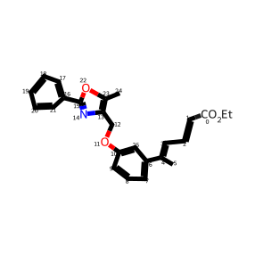 CCOC(=O)C=CC=C(C)c1cccc(OCc2nc(-c3ccccc3)oc2C)c1